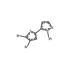 CC(C)n1nccc1-c1cc(Br)c(Br)s1